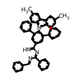 Cc1ccc2c(c1)c1cc(C)ccc1n2-c1c(-c2ccccc2)cc(C(=N)/N=C(\N=C\c2ccccc2)c2ccccc2)cc1-c1ccccc1